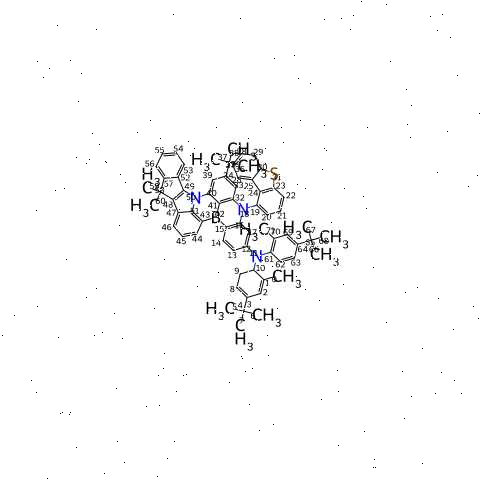 CC1=CC(C(C)(C)C)=CCC1N(c1ccc2c(c1)N(c1cccc3c1C1=CC=CCC1S3)c1cc(C(C)(C)C)cc3c1B2c1cccc2c4c(n-3c12)-c1ccccc1C4(C)C)c1ccc(C(C)(C)C)cc1C